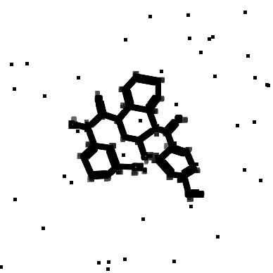 CCN(C(=O)C1CC(C)N(C(=O)c2ccc(OC)cc2)c2ccccc21)c1cccc(C)c1